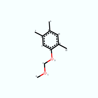 COCOc1cc(C)c(C)cc1C